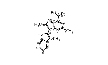 CCC(CC)c1cc(C)nn2c(-c3sc4cccnc4c3C)c(C)nc12